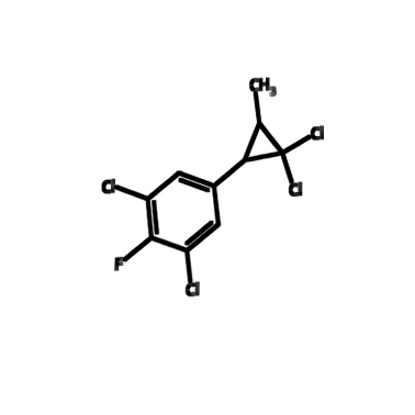 CC1C(c2cc(Cl)c(F)c(Cl)c2)C1(Cl)Cl